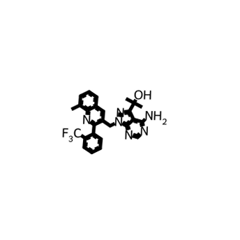 Cc1cccc2cc(Cn3nc(C(C)(C)O)c4c(N)ncnc43)c(-c3ccccc3C(F)(F)F)nc12